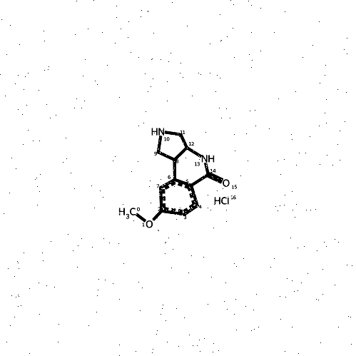 COc1ccc2c(c1)C1CNCC1NC2=O.Cl